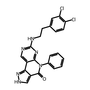 O=c1c2c[nH]nc2c2cnc(NCCc3ccc(Cl)c(Cl)c3)nc2n1-c1ccccc1